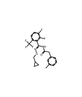 Cc1cccc(CC(=O)N/C(=N\OCC2CC2)c2c(C(F)(F)F)ccc(F)c2F)c1